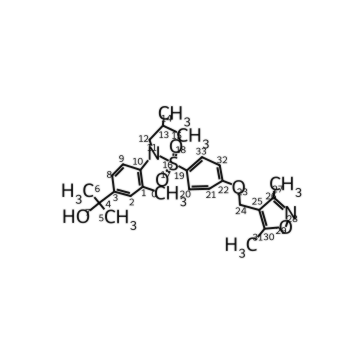 Cc1cc(C(C)(C)O)ccc1N(CC(C)C)S(=O)(=O)c1ccc(OCc2c(C)noc2C)cc1